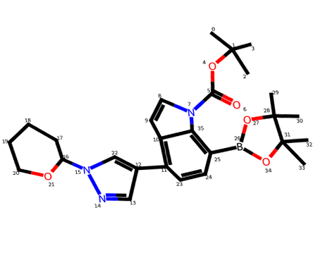 CC(C)(C)OC(=O)n1ccc2c(-c3cnn(C4CCCCO4)c3)ccc(B3OC(C)(C)C(C)(C)O3)c21